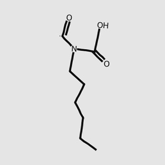 CCCCCCN([C]=O)C(=O)O